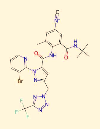 [C-]#[N+]c1cc(C)c(NC(=O)c2cc(Cn3nnc(C(F)(F)F)n3)nn2-c2ncccc2Br)c(C(=O)NC(C)(C)C)c1